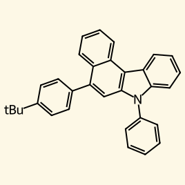 CC(C)(C)c1ccc(-c2cc3c(c4ccccc24)c2ccccc2n3-c2ccccc2)cc1